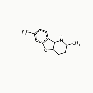 CC1CCC2Oc3cc(C(F)(F)F)ccc3C2N1